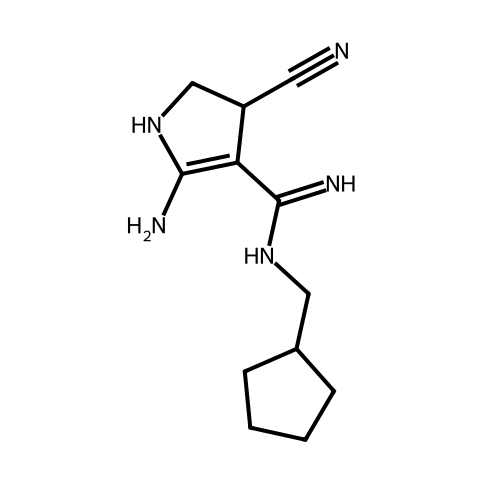 N#CC1CNC(N)=C1C(=N)NCC1CCCC1